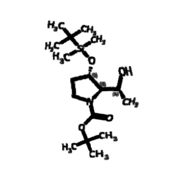 C[C@H](O)[C@@H]1[C@@H](O[Si](C)(C)C(C)(C)C)CCN1C(=O)OC(C)(C)C